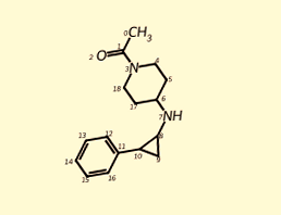 CC(=O)N1CCC(NC2CC2c2ccccc2)CC1